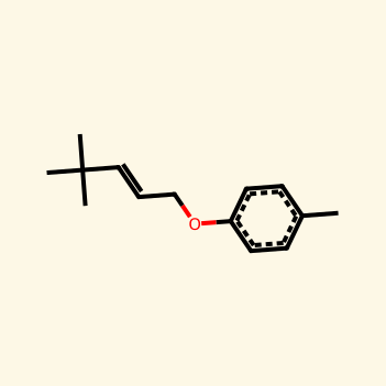 Cc1ccc(OCC=CC(C)(C)C)cc1